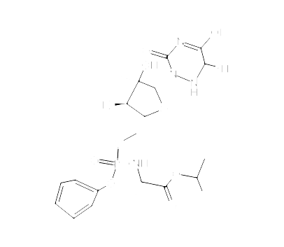 [2H]C1NN([C@@H]2O[C@H](CO[P@@](=O)(N[C@@H](C)C(=O)OC(C)C)Oc3ccccc3)[C@@H](O)[C@@]2(C)O)C(=O)N=C1O